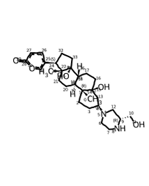 C[C@]12CC[C@H](N3CCN[C@@H](CO)C3)C[C@@]1(O)CC[C@@H]1[C@@H]2CC[C@]2(C)[C@@H](c3ccc(=O)oc3)CC[C@]12O